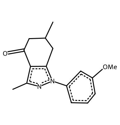 COc1cccc(-n2nc(C)c3c2CC(C)CC3=O)c1